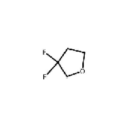 FC1(F)[CH]OCC1